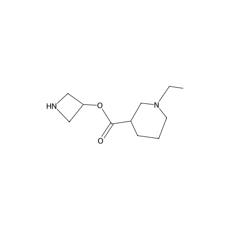 CCN1CCCC(C(=O)OC2CNC2)C1